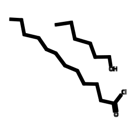 CCCCCCCCCCCC(=O)Cl.CCCCCCO